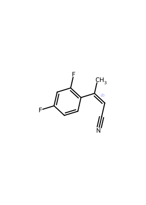 C/C(=C/C#N)c1ccc(F)cc1F